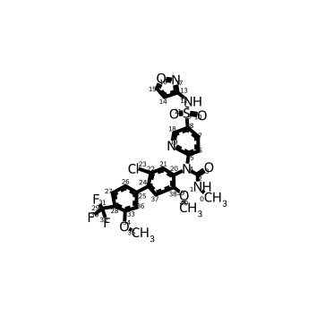 CNC(=O)N(c1ccc(S(=O)(=O)Nc2ccon2)cn1)c1cc(Cl)c(-c2ccc(C(F)(F)F)c(OC)c2)cc1OC